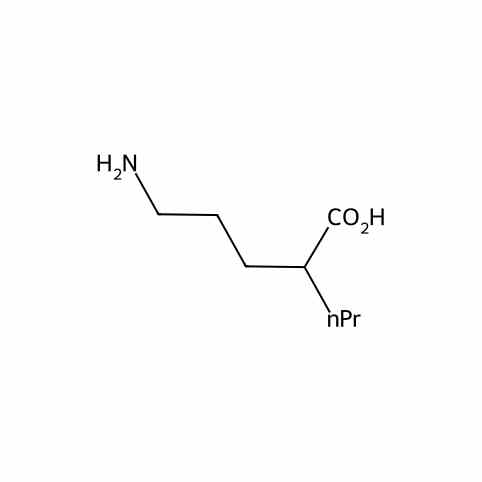 CCCC(CCCN)C(=O)O